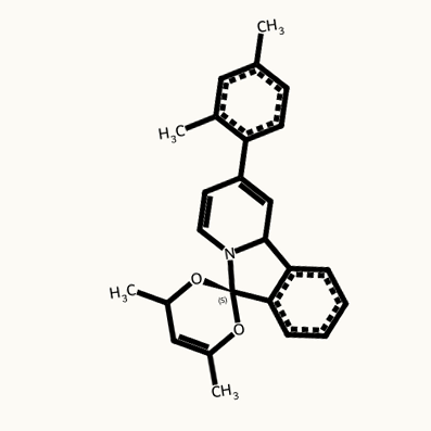 CC1=CC(C)O[C@]2(O1)c1ccccc1C1C=C(c3ccc(C)cc3C)C=CN12